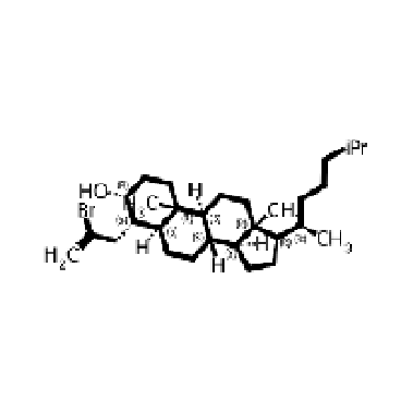 C=C(Br)C[C@@H]1[C@H](O)CC[C@@]2(C)[C@H]1CC[C@@H]1[C@@H]2CC[C@]2(C)[C@@H]([C@H](C)CCCC(C)C)CC[C@@H]12